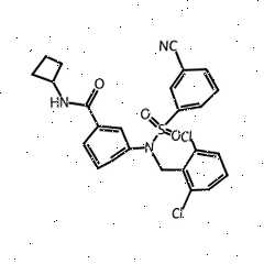 N#Cc1cccc(S(=O)(=O)N(Cc2c(Cl)cccc2Cl)c2cccc(C(=O)NC3CCC3)c2)c1